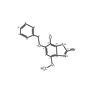 COc1cc(OCc2ccccc2)c(Cl)c2sc(Br)nc12